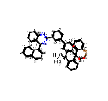 CC1(C)c2ccccc2C2(c3ccccc3Sc3ccccc32)c2ccc(-c3cccc(-c4nc(-c5cccc6ccccc56)c5ccccc5n4)c3)cc21